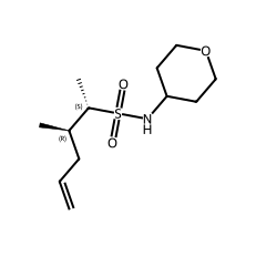 C=CC[C@@H](C)[C@H](C)S(=O)(=O)NC1CCOCC1